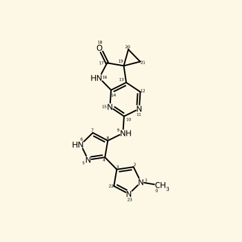 Cn1cc(-c2n[nH]cc2Nc2ncc3c(n2)NC(=O)C32CC2)cn1